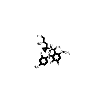 COc1cc(F)c(F)c(Nc2ccc(C)cc2F)c1C(C)S(=O)(=O)C1(C[C@H](O)CO)CC1